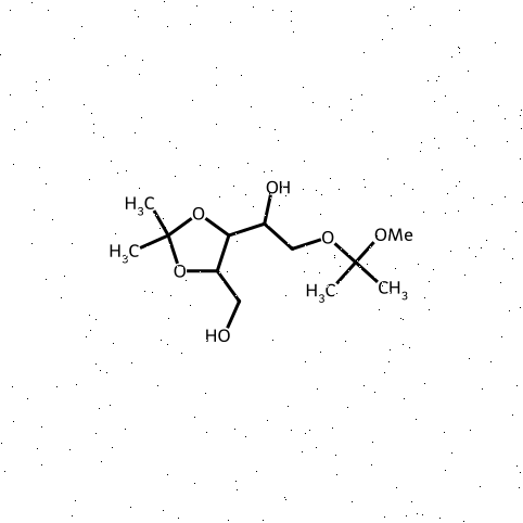 COC(C)(C)OCC(O)C1OC(C)(C)OC1CO